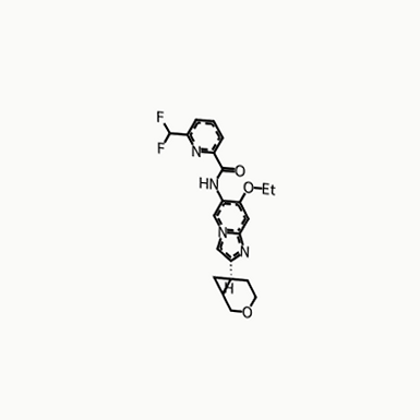 CCOc1cc2nc([C@]34CCOC[C@H]3C4)cn2cc1NC(=O)c1cccc(C(F)F)n1